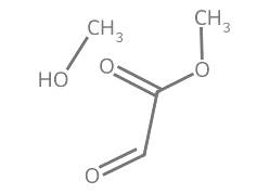 CO.COC(=O)C=O